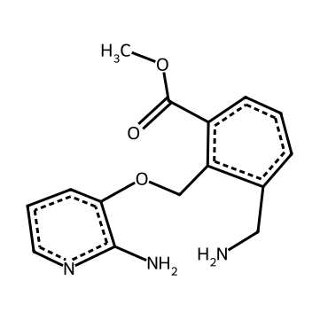 COC(=O)c1cccc(CN)c1COc1cccnc1N